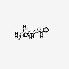 CC12CCC(c3nnc(SCC(=O)Nc4ccccc4)nc31)C2(C)C